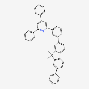 CC1(C)c2cc(-c3ccccc3)ccc2-c2ccc(-c3cccc(-c4cc(-c5ccccc5)cc(-c5ccccc5)n4)c3)cc21